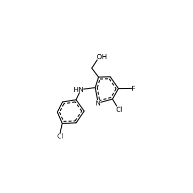 OCc1cc(F)c(Cl)nc1Nc1ccc(Cl)cc1